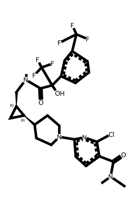 CN(C)C(=O)c1ccc(N2CCC([C@H]3C[C@H]3CN(C)C(=O)C(O)(c3cccc(C(F)(F)F)c3)C(F)(F)F)CC2)nc1Cl